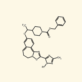 Cc1nc(C2=NC3=c4ccc(OC(C5CCN(C(=O)OCc6ccccc6)CC5)C(F)(F)F)cc4=CCCN3O2)n(C(C)C)n1